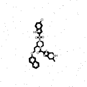 CC1Cc2nc(C(=O)N3CCN(S(=O)(=O)c4cc5cc(Cl)ccc5[nH]4)CC3CCOc3ccc4ccccc4c3)sc2CN1